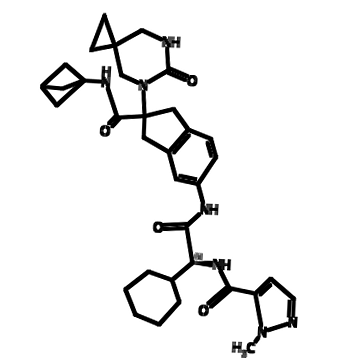 Cn1nccc1C(=O)N[C@H](C(=O)Nc1ccc2c(c1)CC(C(=O)NC13CC(C1)C3)(N1CC3(CC3)CNC1=O)C2)C1CCCCC1